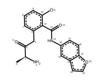 C[C@H](N)C(=O)Cc1cccc(Cl)c1C(=O)Nc1ccc2occc2c1